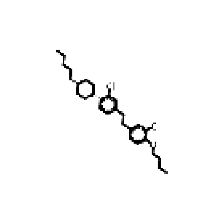 CCCCC[C@H]1CC[C@H](c2ccc(CCc3ccc(OCCCC)c(Cl)c3)cc2Cl)CC1